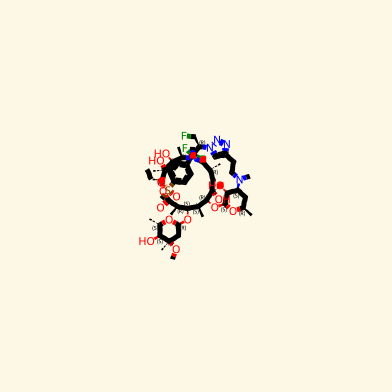 CC[C@H]1OC(=O)[C@H](C)[C@@H](O[C@H]2C[C@@](C)(OC)[C@@H](O)[C@H](C)O2)[C@H](C)[C@@H](O[C@@H]2O[C@H](C)C[C@H](N(C)CCc3cn([C@H](CF)C(F)(F)c4ccc(S(C)(=O)=O)cc4)nn3)[C@H]2O)[C@](C)(O)C[C@@H](C)CN(C)[C@H](C)[C@@H](O)[C@]1(C)O